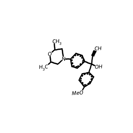 C#CC(O)(c1ccc(OC)cc1)c1ccc(N2CC(C)OC(C)C2)cc1